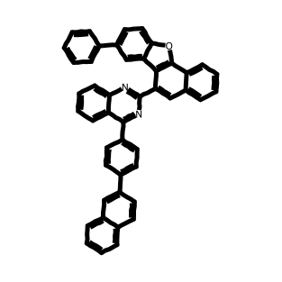 c1ccc(-c2ccc3oc4c5ccccc5cc(-c5nc(-c6ccc(-c7ccc8ccccc8c7)cc6)c6ccccc6n5)c4c3c2)cc1